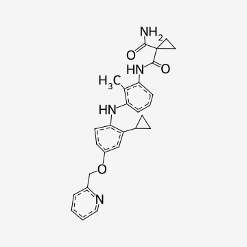 Cc1c(NC(=O)C2(C(N)=O)CC2)cccc1Nc1ccc(OCc2ccccn2)cc1C1CC1